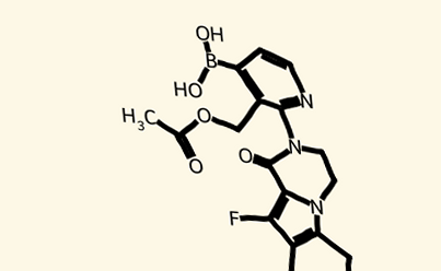 CC(=O)OCc1c(B(O)O)ccnc1N1CCn2c3c(c(F)c2C1=O)CCCC3